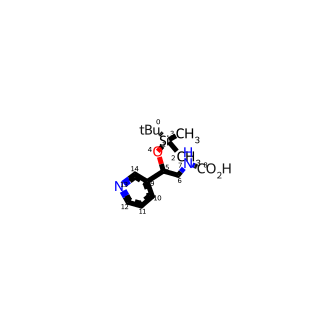 CC(C)(C)[Si](C)(C)OC(CNC(=O)O)c1cccnc1